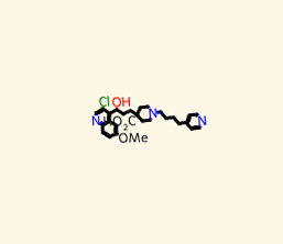 COc1ccc2ncc(Cl)c([C@@H](O)CCC3(C(=O)O)CCN(CCCCc4ccncc4)CC3)c2c1